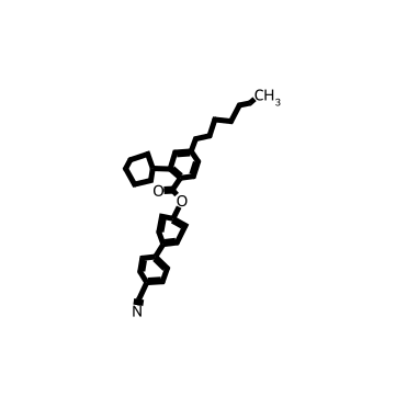 CCCCCCCc1ccc(C(=O)Oc2ccc(-c3ccc(C#N)cc3)cc2)c(C2CCCCC2)c1